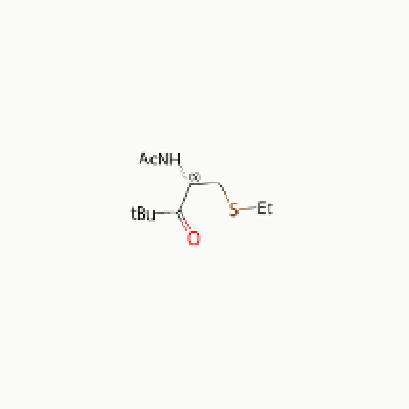 CCSC[C@@H](NC(C)=O)C(=O)C(C)(C)C